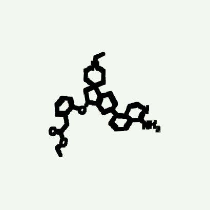 CCOC(=O)Cc1ccccc1O[C@@H]1CC2(CCN(CC)CC2)c2ccc(-c3cccc4c(N)nccc34)cc21